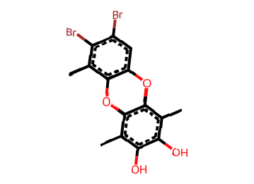 Cc1c(Br)c(Br)cc2c1Oc1c(C)c(O)c(O)c(C)c1O2